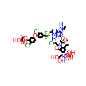 CCNc1nc(Cl)nc(NC(C)C)n1.CCc1cccc(C)c1N(C(=O)CCl)C(C)COC.C[C@H](OC(=O)c1cc(Oc2ccc(C(F)(F)F)cc2Cl)ccc1Cl)C(=O)O.O=C(O)CNCP(=O)(O)O